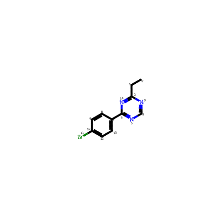 CCc1ncnc(-c2ccc(Br)cc2)n1